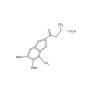 COc1cc2sc(C(=O)C[C@H](C)C(=O)O)cc2c(C)c1OC